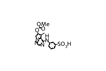 COC(=O)Oc1cn2ncnc(Nc3cccc(S(=O)(=O)O)c3)c2c1C